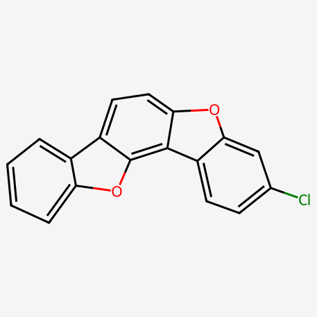 Clc1ccc2c(c1)oc1ccc3c4ccccc4oc3c12